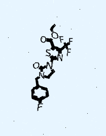 CCOC(=O)c1sc(N2CCN(Cc3ccc(F)cc3)C2=O)nc1C(F)(F)F